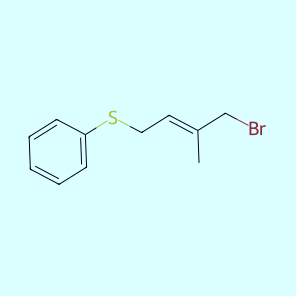 C/C(=C\CSc1ccccc1)CBr